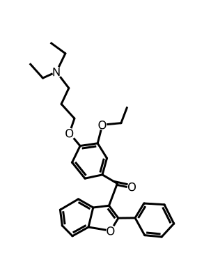 CCOc1cc(C(=O)c2c(-c3ccccc3)oc3ccccc23)ccc1OCCCN(CC)CC